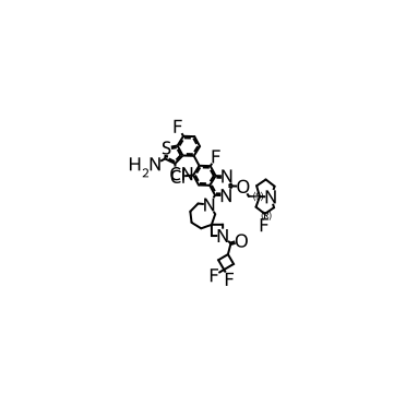 N#Cc1c(N)sc2c(F)ccc(-c3c(Cl)cc4c(N5CCCCC6(CN(C(=O)C7CC(F)(F)C7)C6)C5)nc(OC[C@@]56CCCN5C[C@H](F)C6)nc4c3F)c12